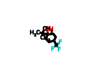 CC(C)(C)C1(O)CCC(C(F)(F)F)CC1